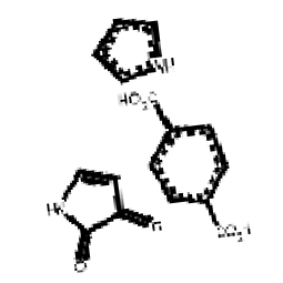 O=C(O)c1ccc(C(=O)O)cc1.O=C1C=CNC1=O.c1cc[nH]c1